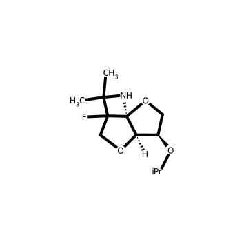 CC(C)O[C@@H]1CO[C@]23NC(C)(C)C2(F)CO[C@H]13